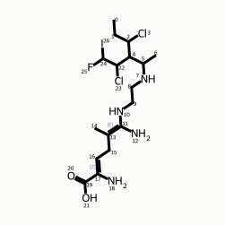 CCC(Cl)C(C(C)NCCN/C(N)=C(\C)C/C=C(\N)C(=O)O)C(Cl)C(F)I